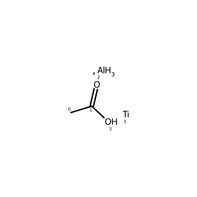 CC(=O)O.[AlH3].[Ti]